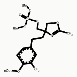 CCCCCCCCOc1ccc(CCC2(COP(=O)(OC(C)(C)C)OC(C)(C)C)COC(C)=N2)cc1C(F)(F)F